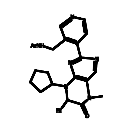 CCC1C(=O)N(C)c2cnc(-c3ccncc3CNC(C)=O)nc2N1C1CCCC1